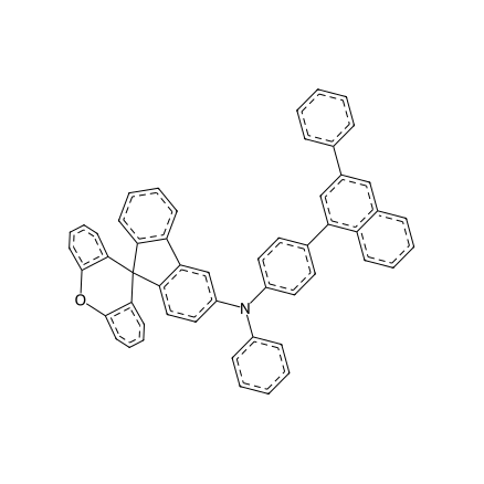 c1ccc(-c2cc(-c3ccc(N(c4ccccc4)c4ccc5c(c4)-c4ccccc4C54c5ccccc5Oc5ccccc54)cc3)c3ccccc3c2)cc1